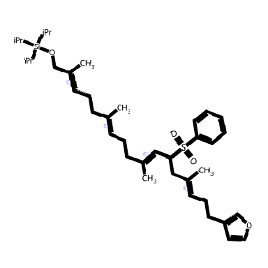 C/C(=C\CC/C(C)=C/C(C/C(C)=C/CCc1ccoc1)S(=O)(=O)c1ccccc1)CC/C=C(\C)CO[Si](C(C)C)(C(C)C)C(C)C